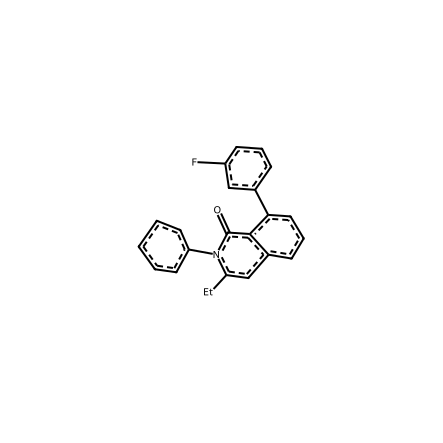 CCc1cc2cccc(-c3cccc(F)c3)c2c(=O)n1-c1ccccc1